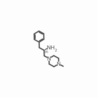 CN1CCN(C[C@H](N)Cc2ccccc2)CC1